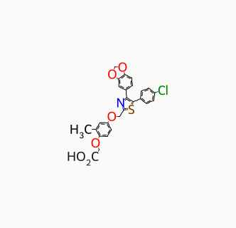 Cc1cc(OCc2nc(-c3ccc4c(c3)OCO4)c(-c3ccc(Cl)cc3)s2)ccc1OCC(=O)O